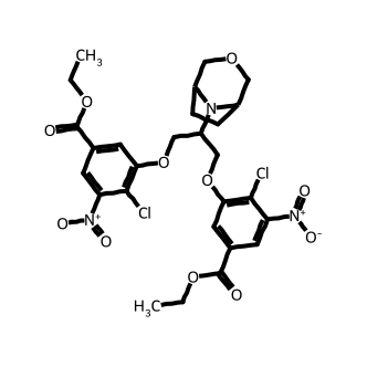 CCOC(=O)c1cc(OCC(COc2cc(C(=O)OCC)cc([N+](=O)[O-])c2Cl)N2C3CCC2COC3)c(Cl)c([N+](=O)[O-])c1